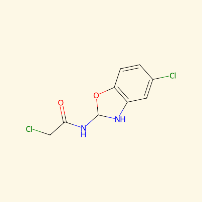 O=C(CCl)NC1Nc2cc(Cl)ccc2O1